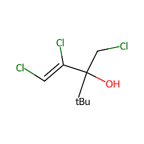 CC(C)(C)C(O)(CCl)/C(Cl)=C/Cl